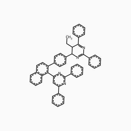 CCC1C(c2ccccc2)=NC(c2ccccc2)=NC1c1ccc(-c2ccc3ccccc3c2-c2cc(-c3ccccc3)nc(-c3ccccc3)n2)cc1